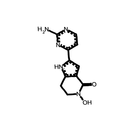 Nc1nccc(-c2cc3c([nH]2)CCN(O)C3=O)n1